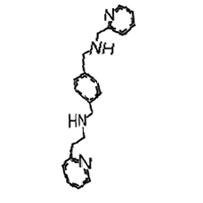 c1ccc(CCNCc2ccc(CNCc3ccccn3)cc2)nc1